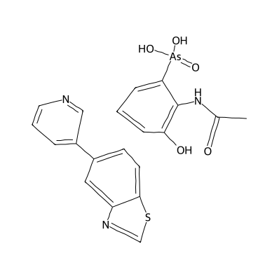 CC(=O)Nc1c(O)cccc1[As](=O)(O)O.c1cncc(-c2ccc3scnc3c2)c1